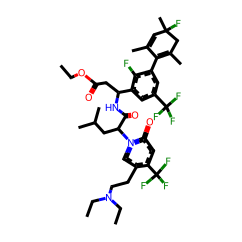 CCOC(=O)CC(NC(=O)C(CC(C)C)n1cc(CCN(CC)CC)c(C(F)(F)F)cc1=O)c1cc(C(F)(F)F)cc(C2=C(C)CC(C)(F)C=C2C)c1F